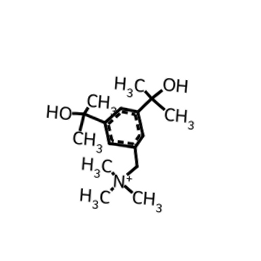 CC(C)(O)c1cc(C[N+](C)(C)C)cc(C(C)(C)O)c1